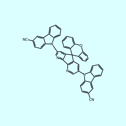 N#Cc1ccc2c(c1)c1ccccc1n2-c1cnc2c(c1)C1(c3ccccc3Oc3ccccc31)c1cc(-n3c4ccccc4c4cc(C#N)ccc43)cnc1-2